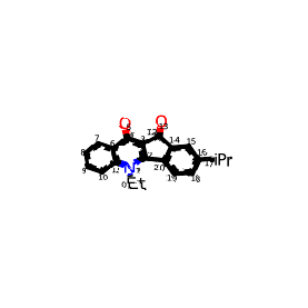 CCn1c2c(c(=O)c3ccccc31)C(=O)c1cc(C(C)C)ccc1-2